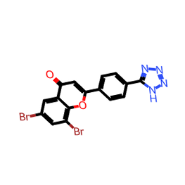 O=c1cc(-c2ccc(-c3nnn[nH]3)cc2)oc2c(Br)cc(Br)cc12